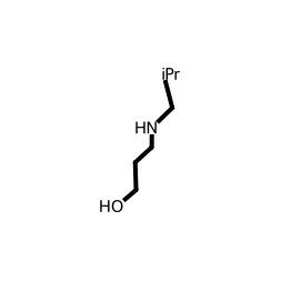 CC(C)CNCCCO